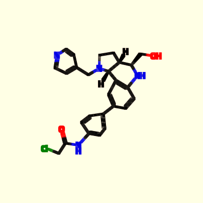 O=C(CCl)Nc1ccc(-c2ccc3c(c2)[C@H]2[C@H](CCN2Cc2ccncc2)[C@@H](CO)N3)cc1